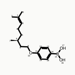 CC(C)=CCC[C@H](C)CCOc1ccc(B(O)O)cc1